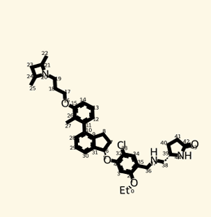 CCOc1cc(O[C@H]2CCc3c(-c4cccc(OCCCN5C(C)CC5C)c4C)cccc32)c(Cl)cc1CNC[C@@H]1CCC(=O)N1